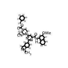 COc1cc(NC(=O)c2cc(N3CCN(C(=O)OCc4ccccc4)[C@@H](CC#N)C3)nc(-c3ccc4c(cnn4C)c3)n2)c2ccccc2c1